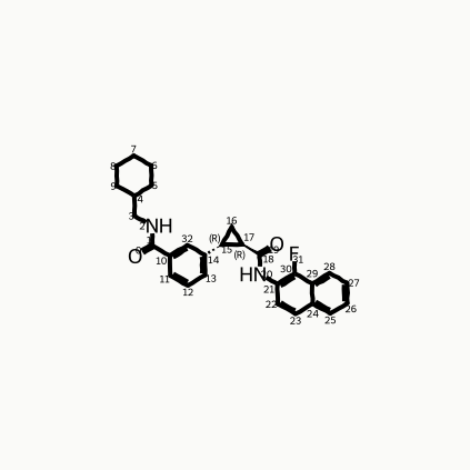 O=C(NCC1CCCCC1)c1cccc([C@@H]2C[C@H]2C(=O)Nc2ccc3ccccc3c2F)c1